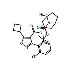 CC(C)(C)OC(=O)N1C2CC[C@H]1C[C@@H](OC(=O)c1c(-c3c(Cl)cccc3Cl)noc1C1CCC1)C2